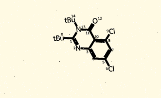 CC(C)(C)c1nc2cc(Cl)cc(Cl)c2c(=O)n1C(C)(C)C